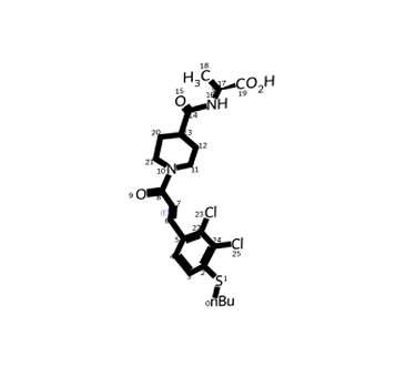 CCCCSc1ccc(/C=C/C(=O)N2CCC(C(=O)N[C@@H](C)C(=O)O)CC2)c(Cl)c1Cl